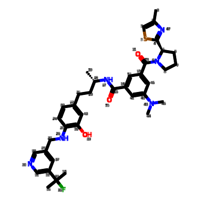 Cc1csc([C@H]2CCCN2C(=O)c2cc(C(=O)N[C@@H](C)CCc3ccc(NCc4cncc(C(C)(C)F)c4)c(O)c3)cc(N(C)C)c2)n1